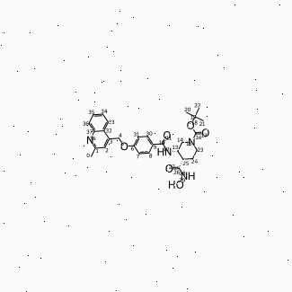 Cc1cc(COc2ccc(C(=O)N[C@@H]3CN(C(=O)OC(C)(C)C)CC[C@@H]3C(=O)NO)cc2)c2ccccc2n1